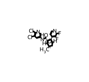 C[C@H]1C[C@@H]2O[C@H]1[C@H](C(=O)Nc1cnc(Cl)c(Cl)c1)[C@H]2c1ccnc(F)c1F